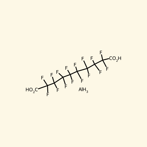 O=C(O)C(F)(F)C(F)(F)C(F)(F)C(F)(F)C(F)(F)C(F)(F)C(F)(F)C(F)(F)C(=O)O.[AlH3]